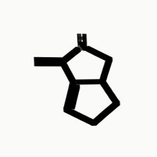 C=C1NCC2CCC=C12